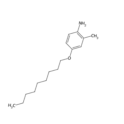 CCCCCCCCCOc1ccc(N)c(C)c1